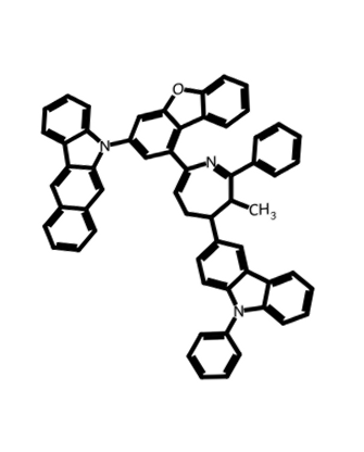 CC1C(c2ccccc2)=NC(c2cc(-n3c4ccccc4c4cc5ccccc5cc43)cc3oc4ccccc4c23)=CCC1c1ccc2c(c1)c1ccccc1n2-c1ccccc1